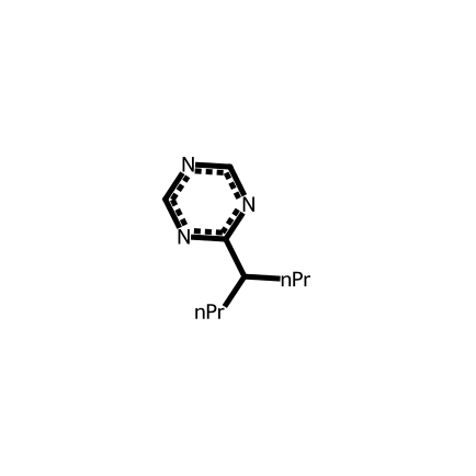 CCCC(CCC)c1ncncn1